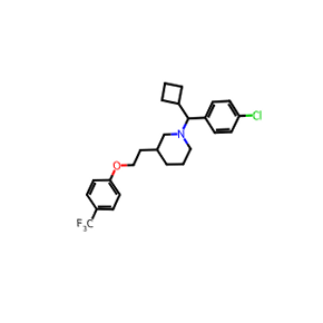 FC(F)(F)c1ccc(OCCC2CCCN(C(c3ccc(Cl)cc3)C3CCC3)C2)cc1